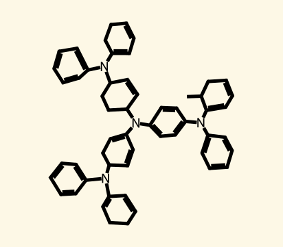 CC1CC=CC=C1N(c1ccccc1)c1ccc(N(C2=CCC(N(C3=CCCC=C3)c3ccccc3)C=C2)C2C=CC(N(C3=CC=CCC3)c3ccccc3)CC2)cc1